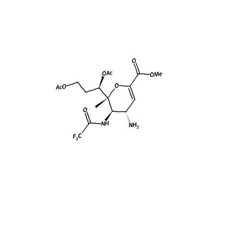 COC(=O)C1=C[C@H](N)[C@@H](NC(=O)C(F)(F)F)[C@](C)([C@@H](CCOC(C)=O)OC(C)=O)O1